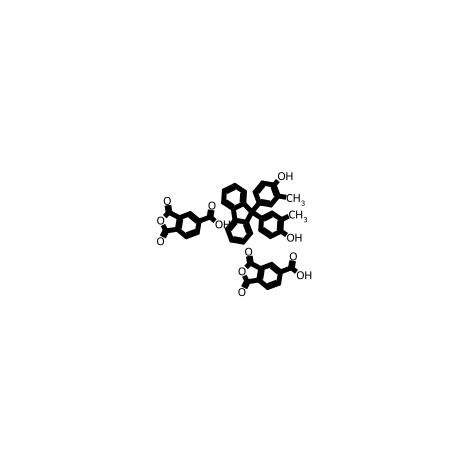 Cc1cc(C2(c3ccc(O)c(C)c3)c3ccccc3-c3ccccc32)ccc1O.O=C(O)c1ccc2c(c1)C(=O)OC2=O.O=C(O)c1ccc2c(c1)C(=O)OC2=O